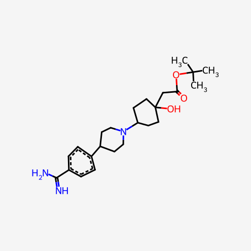 CC(C)(C)OC(=O)CC1(O)CCC(N2CCC(c3ccc(C(=N)N)cc3)CC2)CC1